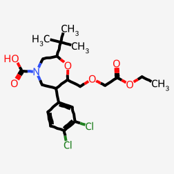 CCOC(=O)COCC1OC(C(C)(C)C)CN(C(=O)O)CC1c1ccc(Cl)c(Cl)c1